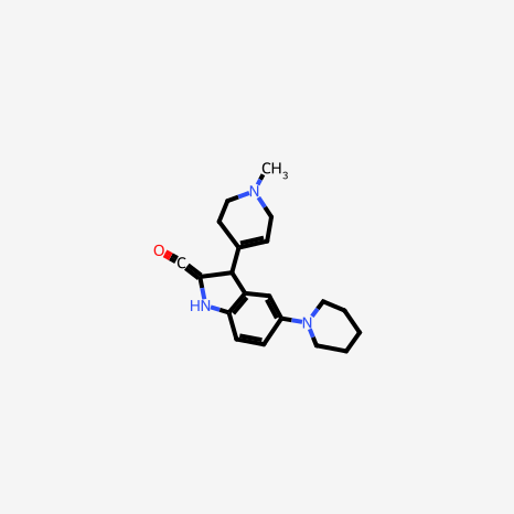 CN1CC=C(C2C(=C=O)Nc3ccc(N4CCCCC4)cc32)CC1